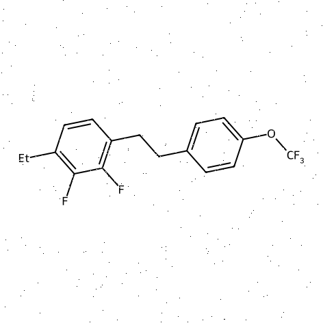 CCc1ccc(CCc2ccc(OC(F)(F)F)cc2)c(F)c1F